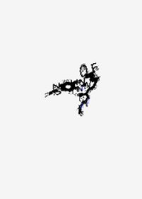 C#CC(/C=C\C(F)=C/C)C1CCc2c(F)c(=O)[nH]/c(=N\c3cc4sc(C)nc4cc3C)n21